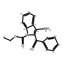 CCOC(=O)n1c(C(=O)c2ccccc2)c(N)c2ccccc21